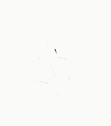 O=C(O)[C@@H](O)[C@@H](O)[C@H](O)[C@@H](O)C(=O)O.[KH]